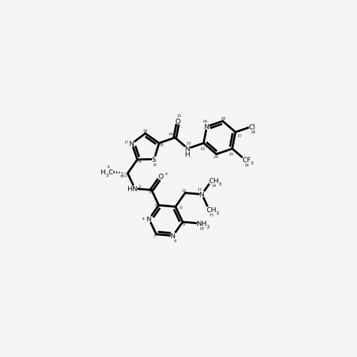 C[C@@H](NC(=O)c1ncnc(N)c1CN(C)C)c1ncc(C(=O)Nc2cc(C(F)(F)F)c(Cl)cn2)s1